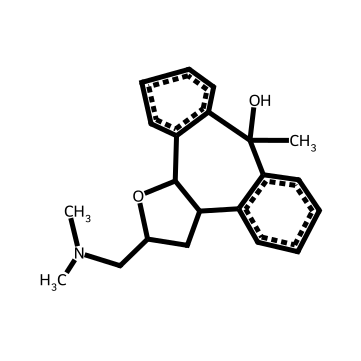 CN(C)CC1CC2c3ccccc3C(C)(O)c3ccccc3C2O1